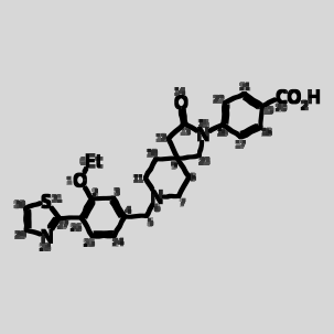 CCOc1cc(CN2CCC3(CC2)CC(=O)N(c2ccc(C(=O)O)cc2)C3)ccc1-c1nccs1